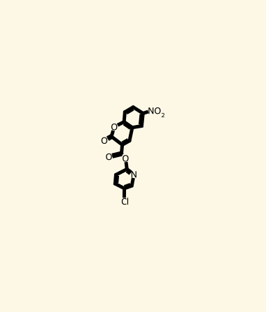 O=C(Oc1ccc(Cl)cn1)c1cc2cc([N+](=O)[O-])ccc2oc1=O